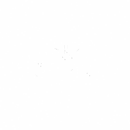 C1=CC(C2NC(C3C=CCC(C4CCC5C(C4)C4CCCCC4N5C4CC=CCC4)C3)NC(C3CCC=C(C4CCC5C(C4)C4CCCCC4N5C4CCCCC4)C3)N2)CCC1